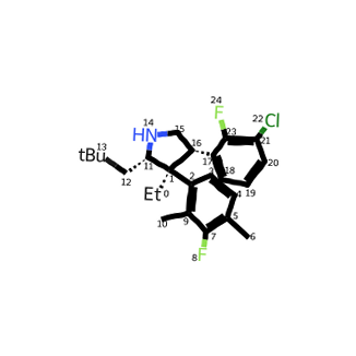 CC[C@]1(c2ccc(C)c(F)c2C)[C@H](CC(C)(C)C)NC[C@@H]1c1cccc(Cl)c1F